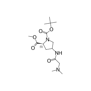 COC(=O)[C@@H]1CC(NC(=O)CN(C)C)CN1C(=O)OC(C)(C)C